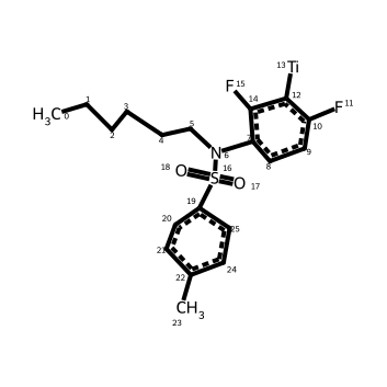 CCCCCCN(c1ccc(F)[c]([Ti])c1F)S(=O)(=O)c1ccc(C)cc1